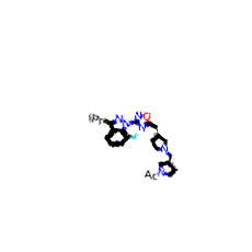 CC(=O)N1CC[C@H](CN2CC[C@H](Cc3nc(-n4nc(C(C)C)c5cccc(F)c54)no3)C2)C1